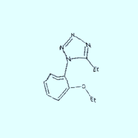 CCOc1ccccc1-n1nnnc1CC